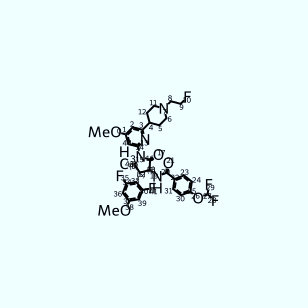 COc1cc(C2CCN(CCF)CC2)nc(N2C(=O)[C@@H](NC(=O)c3ccc(OC(F)F)cc3)[C@H](c3c(F)cc(OC)cc3F)[C@@H]2C)c1